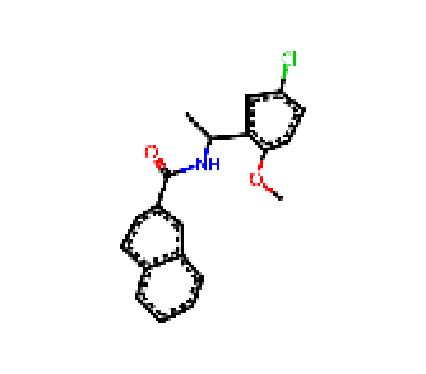 COc1ccc(Cl)cc1C(C)NC(=O)c1ccc2ccccc2c1